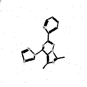 Cc1nc(C)n2nc(-c3ccccn3)nc(-n3cncn3)c12